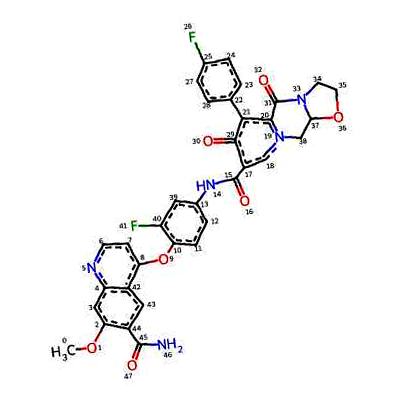 COc1cc2nccc(Oc3ccc(NC(=O)c4cn5c(c(-c6ccc(F)cc6)c4=O)C(=O)N4CCOC4C5)cc3F)c2cc1C(N)=O